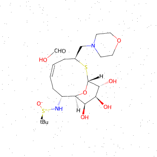 CC(C)(C)[S@@+]([O-])N[C@@H]1CC=CC[C@@H](CN2CCOCC2)S[C@H]2O[C@H]1[C@H](O)[C@H](O)[C@H]2O.O=CO